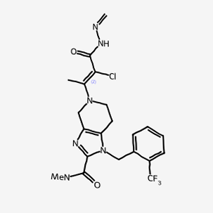 C=NNC(=O)/C(Cl)=C(\C)N1CCc2c(nc(C(=O)NC)n2Cc2ccccc2C(F)(F)F)C1